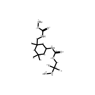 CCCCOC(=O)NCC1(C)CC(NC(=O)OCC(F)(F)OCCC)CC(C)(C)C1